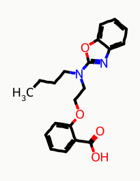 CCCCN(CCOc1ccccc1C(=O)O)c1nc2ccccc2o1